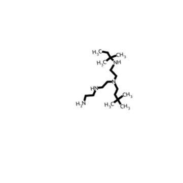 CCC(C)(C)NCCN(CCNCCN)CCC(C)(C)C